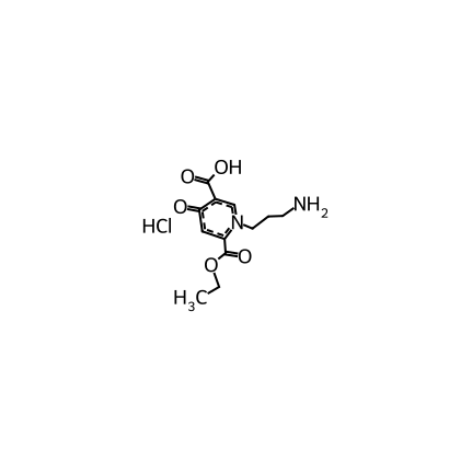 CCOC(=O)c1cc(=O)c(C(=O)O)cn1CCCN.Cl